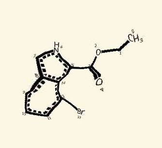 CCOC(=O)c1[nH]cc2cccc(Br)c12